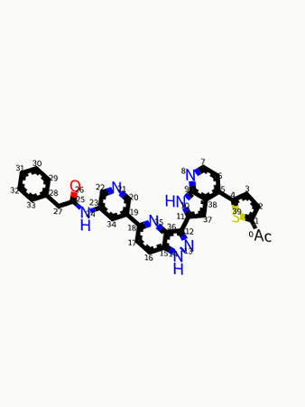 CC(=O)c1ccc(-c2ccnc3[nH]c(-c4n[nH]c5ccc(-c6cncc(NC(=O)Cc7ccccc7)c6)nc45)cc23)s1